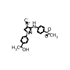 [C-]#[N+]c1cn(-c2ccc(C(C)O)cc2)nc1Nc1ccc(S(C)(=O)=O)cc1